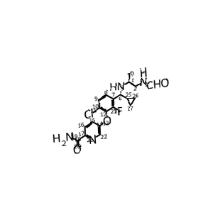 C[C@@H](CNC=O)N[C@@H](c1ccc(Cl)c(Oc2ccc(C(N)=O)nc2)c1F)C1CC1